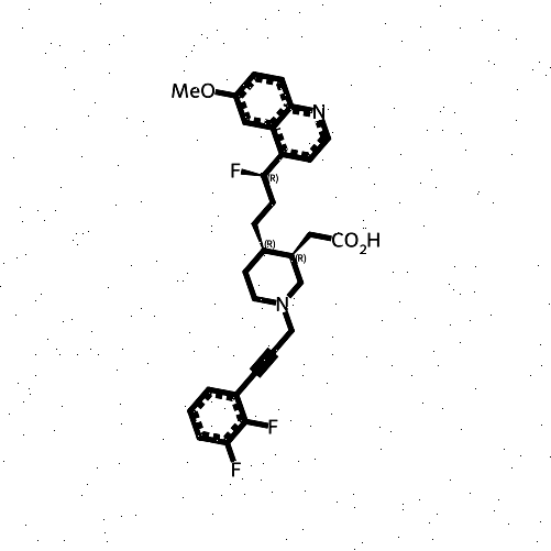 COc1ccc2nccc([C@H](F)CC[C@@H]3CCN(CC#Cc4cccc(F)c4F)C[C@@H]3CC(=O)O)c2c1